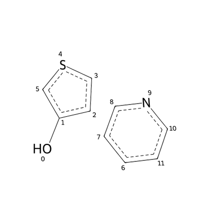 Oc1ccsc1.c1ccncc1